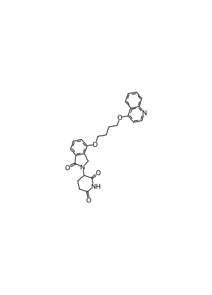 O=C1CCC(N2Cc3c(OCCCCOc4ccnc5ccccc45)cccc3C2=O)C(=O)N1